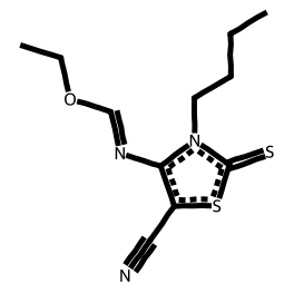 CCCCn1c(N=COCC)c(C#N)sc1=S